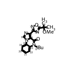 CCC(C)n1c(=O)c2c(-c3noc(C(C)(C)OC)n3)ncn2c2ccccc21